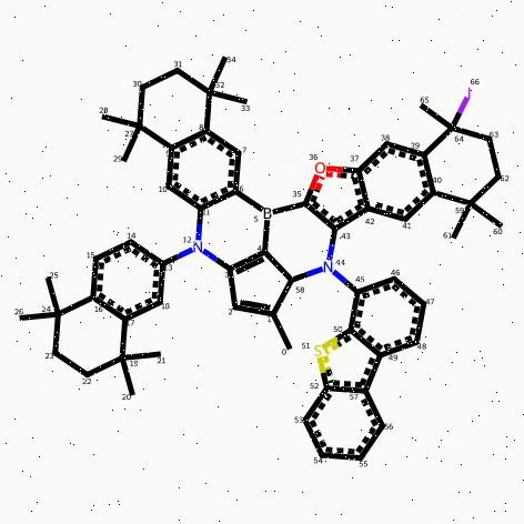 CC1=CC2=C3B(c4cc5c(cc4N2c2ccc4c(c2)C(C)(C)CCC4(C)C)C(C)(C)CCC5(C)C)c2oc4cc5c(cc4c2N(c2cccc4c2sc2ccccc24)C13)C(C)(C)CCC5(C)I